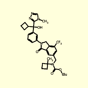 Cn1cnnc1C(O)(c1cccc(N2Cc3c(cc(CN(C(=O)OC(C)(C)C)C4(C)CCC4)cc3C(F)(F)F)C2=O)c1)C1CCC1